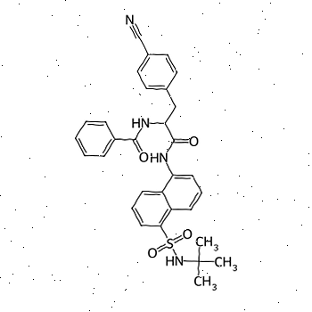 CC(C)(C)NS(=O)(=O)c1cccc2c(NC(=O)C(Cc3ccc(C#N)cc3)NC(=O)c3ccccc3)cccc12